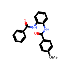 COc1ccc(C(=O)Nc2ccccc2NC(=O)c2ccccc2)cc1